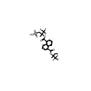 CCC(C)(OC(=O)c1cccc2c(C(=O)OC(C)(CS(=O)(=O)O)C(F)(F)F)cccc12)C(F)(F)F